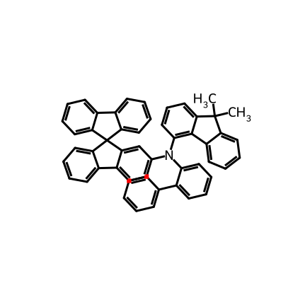 CC1(C)c2ccccc2-c2c(N(c3ccc4c(c3)C3(c5ccccc5-c5ccccc53)c3ccccc3-4)c3ccccc3-c3ccccc3)cccc21